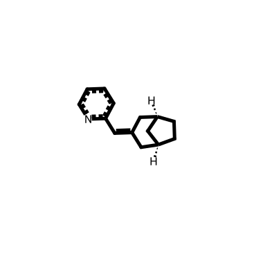 C(=C1/C[C@H]2CC[C@@H](C1)C2)/c1ccccn1